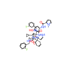 CC(=O)NC1(C2(C3CC3)C=CN[N+]2(C(=O)NCc2cccc(F)c2)C2(c3cc(NC(=O)c4cccn4C)ccc3O)C=C(C3CC3)N(C(=O)NCc3ccccc3F)N2)CC=CC=C1O